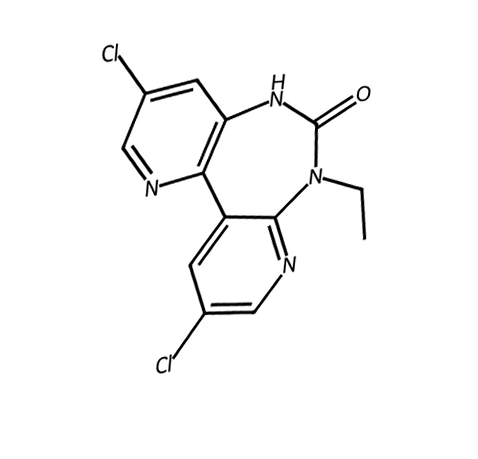 CCN1C(=O)Nc2cc(Cl)cnc2-c2cc(Cl)cnc21